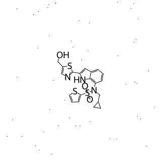 O=S(=O)(c1cccs1)N(CC1CC1)c1cccc2cc(-c3ncc(CO)s3)[nH]c12